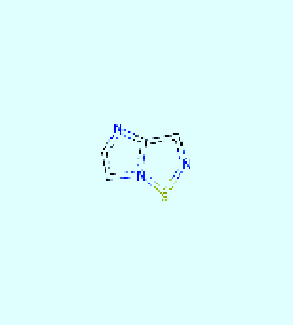 c1cn2sncc2n1